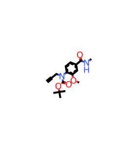 C#CCN(C(=O)OC(C)(C)C)c1ccc(C(=O)NC)cc1OC